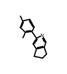 Cc1ccc(-c2cc3c(cn2)CCC3)c(C)c1